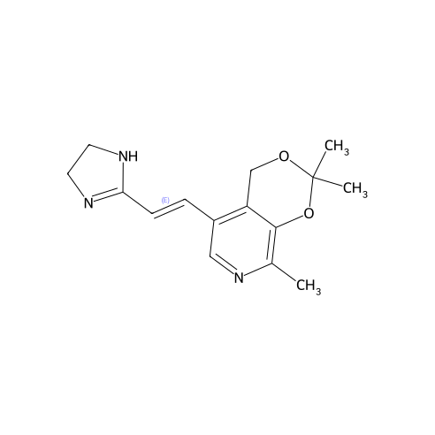 Cc1ncc(/C=C/C2=NCCN2)c2c1OC(C)(C)OC2